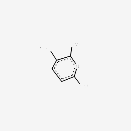 COc1c[c]c(OC)c(OC)n1